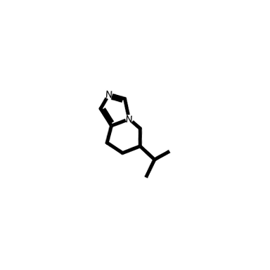 CC(C)C1CCc2cncn2C1